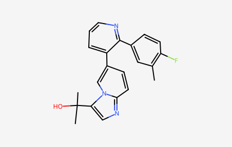 Cc1cc(-c2ncccc2-c2ccc3ncc(C(C)(C)O)n3c2)ccc1F